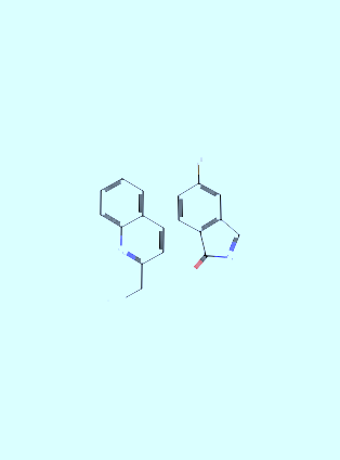 O=C1N=Cc2cc(Br)ccc21.O=CCc1ccc2ccccc2n1